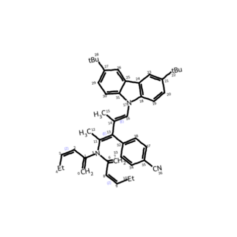 C=C(/C=C\CC)N(C(=C)/C=C\CC)/C(C)=C(/C(C)=C/n1c2ccc(C(C)(C)C)cc2c2cc(C(C)(C)C)ccc21)c1ccc(C#N)cc1